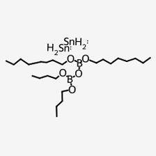 CCCCCCCCOB(OCCCCCCCC)OB(OCCCC)OCCCC.[SnH2].[SnH2]